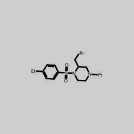 CCc1ccc(S(=O)(=O)N2CCN(C(C)C)CC2CC(C)C)cc1